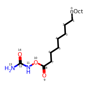 CCCCCCCCCCCCCCCC(=O)ONC(N)=O